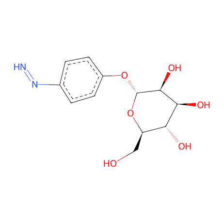 N=Nc1ccc(O[C@H]2O[C@H](CO)[C@@H](O)[C@H](O)[C@@H]2O)cc1